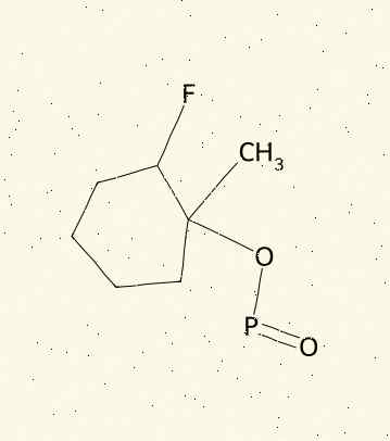 CC1(OP=O)CCCCC1F